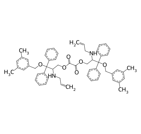 C=CCNC(COC(=O)C(=O)OCC(NCC=C)C(OCc1cc(C)cc(C)c1)(c1ccccc1)c1ccccc1)C(OCc1cc(C)cc(C)c1)(c1ccccc1)c1ccccc1